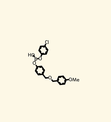 COc1ccc(COCc2ccc(OB(O)Oc3ccc(Cl)cc3)cc2)cc1